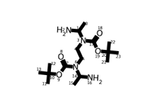 CC(N)N(CCN(C(=O)OC(C)(C)C)C(C)N)C(=O)OC(C)(C)C